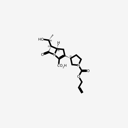 C=CCOC(=O)N1CC[C@@H](C2=C(C(=O)O)N3C(=O)[C@H]([C@@H](C)O)[C@H]3C2)C1